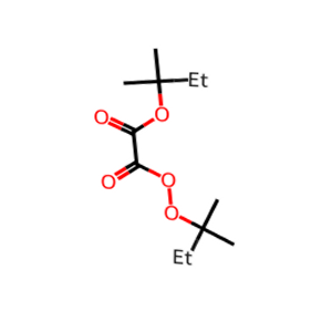 CCC(C)(C)OOC(=O)C(=O)OC(C)(C)CC